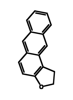 c1ccc2cc3c4c(ccc3cc2c1)OCC4